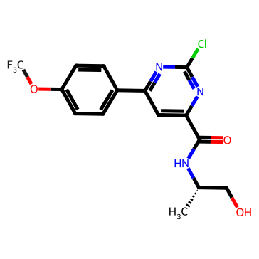 C[C@@H](CO)NC(=O)c1cc(-c2ccc(OC(F)(F)F)cc2)nc(Cl)n1